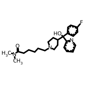 CN(C)C(=O)CCCCCN1CCC(C(O)(c2ccc(F)cc2)c2ccccn2)CC1